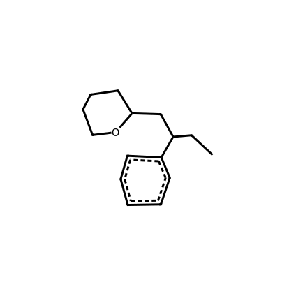 CCC(CC1CCCCO1)c1ccccc1